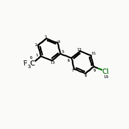 FC(F)(F)c1cc[c]c(-c2ccc(Cl)cc2)c1